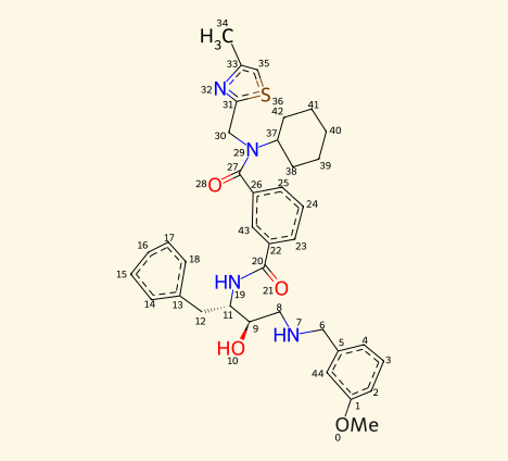 COc1cccc(CNC[C@@H](O)[C@H](Cc2ccccc2)NC(=O)c2cccc(C(=O)N(Cc3nc(C)cs3)C3CCCCC3)c2)c1